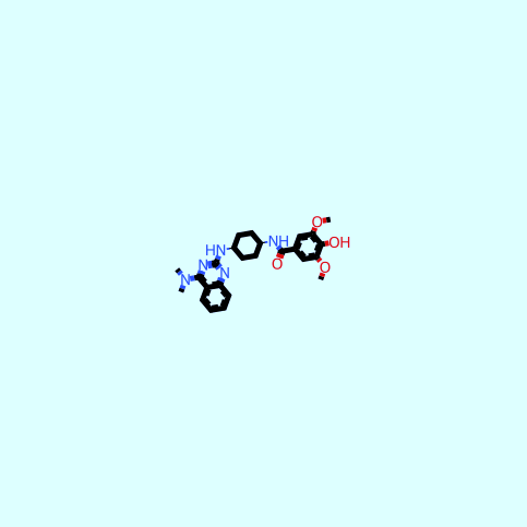 COc1cc(C(=O)N[C@H]2CC[C@@H](Nc3nc(N(C)C)c4ccccc4n3)CC2)cc(OC)c1O